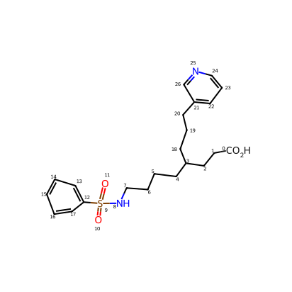 O=C(O)CCC(CCCCNS(=O)(=O)c1ccccc1)CCCc1cccnc1